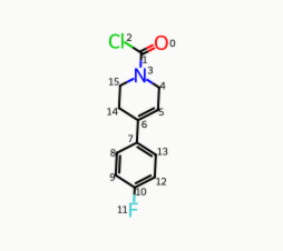 O=C(Cl)N1CC=C(c2ccc(F)cc2)CC1